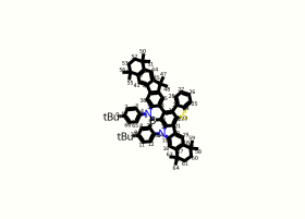 CC(C)(C)c1ccc(N2B3c4cc(C(C)(C)C)ccc4-n4c5cc6c(cc5c5c7sc8ccccc8c7c(c3c54)-c3cc4c(cc32)-c2cc3c(cc2C4(C)C)C(C)(C)CCC3(C)C)C(C)(C)CCC6(C)C)cc1